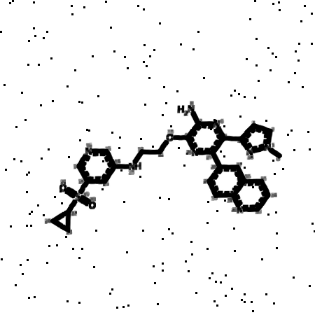 Cn1ccc(-c2nc(N)c(OCCNc3cncc(S(=O)(=O)C4CC4)c3)nc2-c2ccc3ncccc3c2)n1